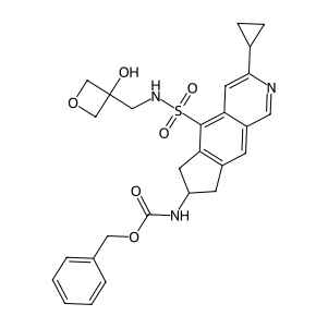 O=C(NC1Cc2cc3cnc(C4CC4)cc3c(S(=O)(=O)NCC3(O)COC3)c2C1)OCc1ccccc1